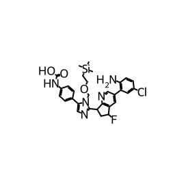 C[Si](C)(C)CCOCn1c(-c2ccc(NC(=O)O)cc2)cnc1C1CC(F)c2cc(-c3cc(Cl)ccc3N)cnc21